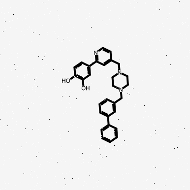 Oc1ccc(-c2cc(CN3CCN(Cc4cccc(-c5ccccc5)c4)CC3)ccn2)cc1O